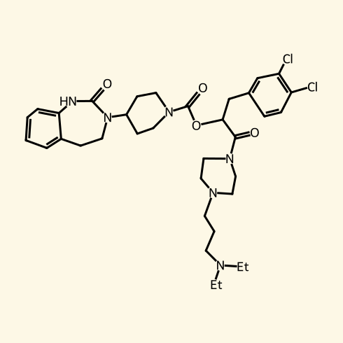 CCN(CC)CCCN1CCN(C(=O)C(Cc2ccc(Cl)c(Cl)c2)OC(=O)N2CCC(N3CCc4ccccc4NC3=O)CC2)CC1